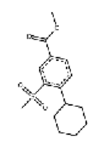 COC(=O)c1ccc(C2CCCCC2)c(S(C)(=O)=O)c1